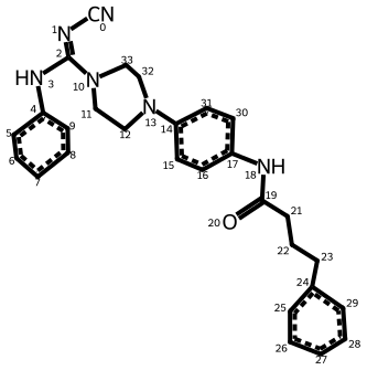 N#C/N=C(/Nc1ccccc1)N1CCN(c2ccc(NC(=O)CCCc3ccccc3)cc2)CC1